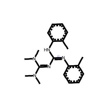 Cc1ccccc1/N=C(\N=C(N(C)C)N(C)C)Nc1ccccc1C